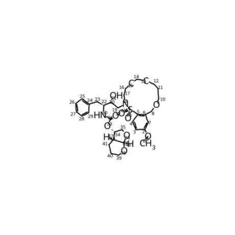 COc1ccc2c(c1)COCCCCCCCCN(C[C@@H](O)[C@H](Cc1ccccc1)NC(=O)O[C@@H]1CO[C@@H]3OCCC[C@@H]31)S2(=O)=O